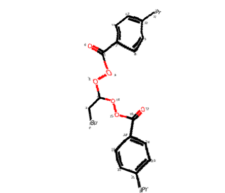 [CH2]CC(C)C[C](OOC(=O)c1ccc(C(C)C)cc1)OOC(=O)c1ccc(C(C)C)cc1